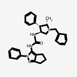 C[C@H]1[C@@H](c2ccccc2)[C@H](NC(=O)Nc2c3c(nn2-c2ccccc2)CCC3)CN1Cc1ccccc1